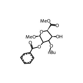 CCCCOC1C(OC(=O)c2ccccc2)[C@@H](OC)O[C@@H](C(=O)OC)[C@H]1O